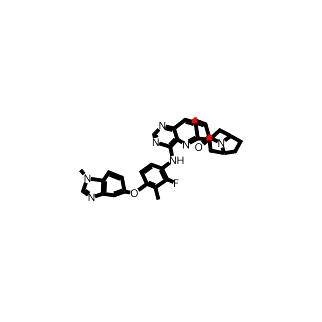 C=CC(=O)N1C2CCC1CC(c1ccc3ncnc(Nc4ccc(Oc5ccc6c(c5)ncn6C)c(C)c4F)c3n1)C2